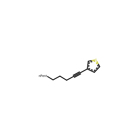 CCCCCCCCC#Cc1ccsc1